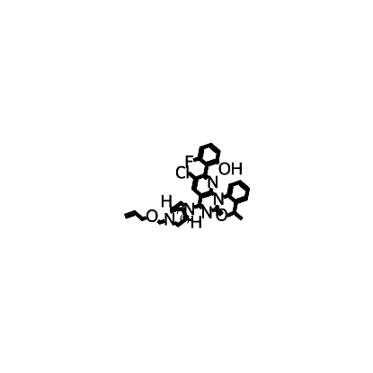 C=CCOCN1C[C@@H]2C[C@H]1CN2c1nc(=O)n(-c2ccccc2C(C)C)c2nc(-c3c(O)cccc3F)c(Cl)cc12